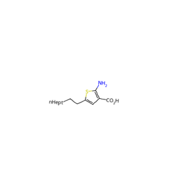 CCCCCCCCCc1cc(C(=O)O)c(N)s1